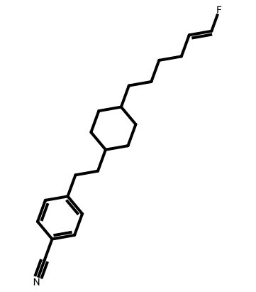 N#Cc1ccc(CCC2CCC(CCCC/C=C/F)CC2)cc1